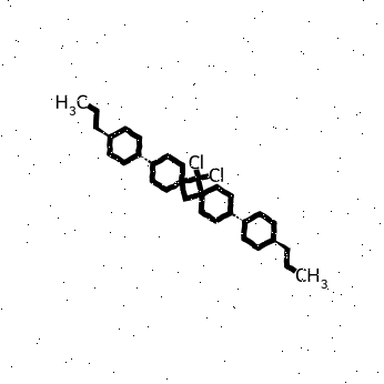 CCC[C@H]1CC[C@H](C2CCC3(CC2)CC2(CCC([C@H]4CC[C@H](CCC)CC4)CC2)C3(Cl)Cl)CC1